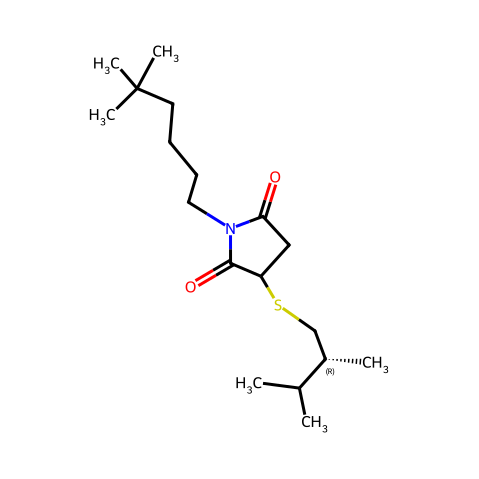 CC(C)[C@@H](C)CSC1CC(=O)N(CCCCC(C)(C)C)C1=O